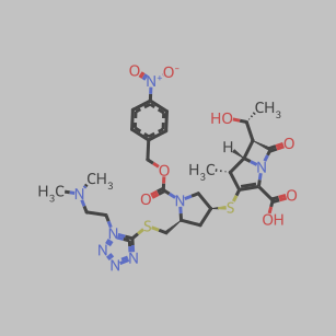 C[C@@H](O)[C@H]1C(=O)N2C(C(=O)O)=C(S[C@H]3C[C@@H](CSc4nnnn4CCN(C)C)N(C(=O)OCc4ccc([N+](=O)[O-])cc4)C3)[C@H](C)[C@H]12